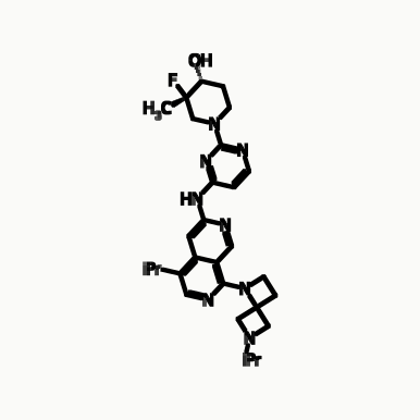 CC(C)c1cnc(N2CCC23CN(C(C)C)C3)c2cnc(Nc3ccnc(N4CC[C@@H](O)[C@@](C)(F)C4)n3)cc12